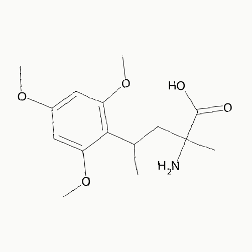 COc1cc(OC)c(C(C)CC(C)(N)C(=O)O)c(OC)c1